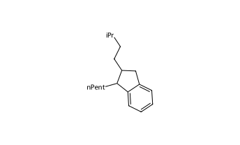 CCCCCC1c2ccccc2CC1CCC(C)C